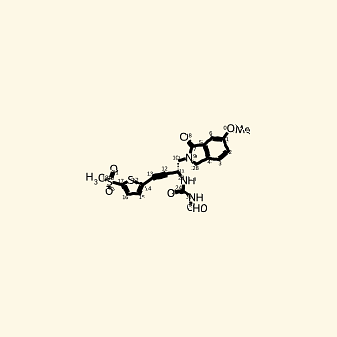 COc1ccc2c(c1)C(=O)N(C[C@@H](C#Cc1ccc(S(C)(=O)=O)s1)NC(=O)NC=O)C2